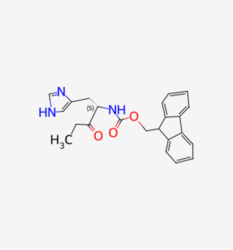 CCC(=O)[C@H](Cc1c[nH]cn1)NC(=O)OCC1c2ccccc2-c2ccccc21